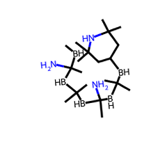 CBC(C)(N)BC(C)(C)BC(C)(N)BC(C)(C)BC1CC(C)(C)NC(C)(C)C1